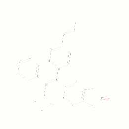 O=C(O)C=Cc1ccc(C(=C(c2ccccc2)C2CCC2)c2ccc3[nH]c(=O)oc3c2)cc1